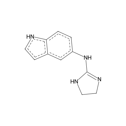 c1cc2cc(NC3=NCCN3)ccc2[nH]1